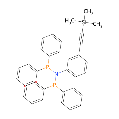 C[Si](C)(C)C#Cc1cccc(N(P(c2ccccc2)c2ccccc2)P(c2ccccc2)c2ccccc2)c1